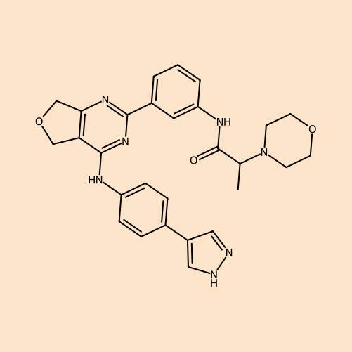 CC(C(=O)Nc1cccc(-c2nc3c(c(Nc4ccc(-c5cn[nH]c5)cc4)n2)COC3)c1)N1CCOCC1